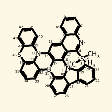 CS(C)(C)c1nc2ccccc2c2cc3c4c(c12)-n1c2ccccc2c2cccc(c21)B4c1cccc2c1N3c1ccccc1S2